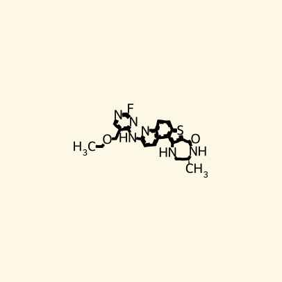 CCOCc1cnc(F)nc1Nc1ccc2c(ccc3sc4c(c32)NC[C@@H](C)NC4=O)n1